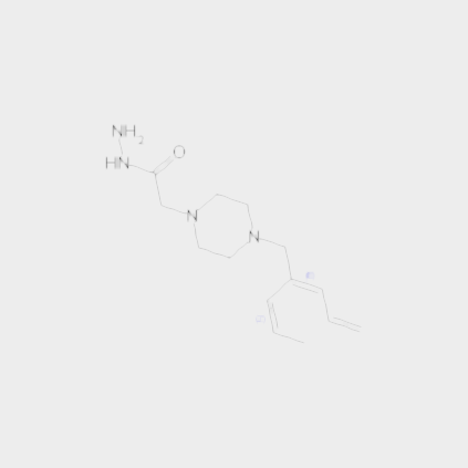 C=C/C=C(\C=C/C)CN1CCN(CC(=O)NN)CC1